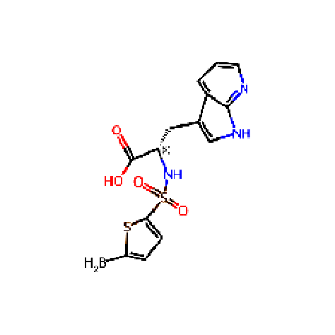 Bc1ccc(S(=O)(=O)N[C@@H](Cc2c[nH]c3ncccc23)C(=O)O)s1